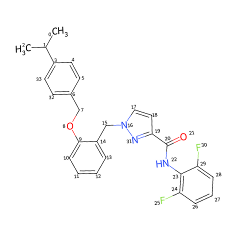 CC(C)c1ccc(COc2ccccc2Cn2ccc(C(=O)Nc3c(F)cccc3F)n2)cc1